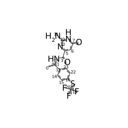 C[C@@H](NC(=O)c1cc(=O)[nH]c(N)n1)c1ccc(SC(F)(F)F)cc1